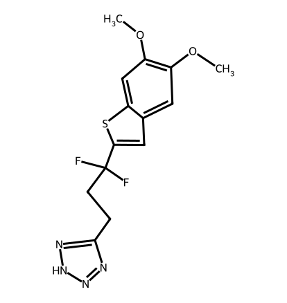 COc1cc2cc(C(F)(F)CCc3nn[nH]n3)sc2cc1OC